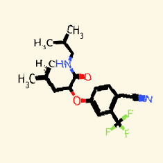 CC(C)CNC(=O)C(CC(C)C)Oc1ccc(C#N)c(C(F)(F)F)c1